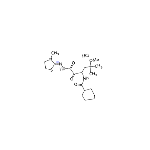 COC(C)(C)CC(NC(=O)C1CCCCC1)C(=O)C(=O)N/N=C1\SCCN1C.Cl